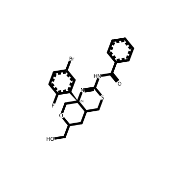 O=C(NC1=N[C@@]2(c3cc(Br)ccc3F)COC(CO)CC2CS1)c1ccccc1